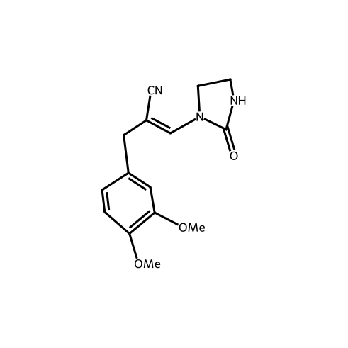 COc1ccc(CC(C#N)=CN2CCNC2=O)cc1OC